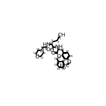 C#CCC[C@H](NC(=O)CN1CCOCC1)C(=O)N[C@@H](Cc1ccc(OC)cc1)C(=O)OCc1ccccc1